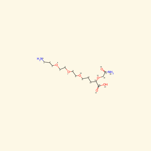 NCCCOCCOCCOCCCC(OCC(N)=O)C(=O)O